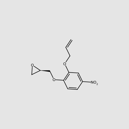 C=CCOc1cc([N+](=O)[O-])ccc1OC[C@H]1CO1